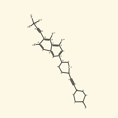 CC1CCC(C#CC2CCC(c3cc(F)c4c(F)c(C#CC(F)(F)F)c(F)cc4c3)CC2)CC1